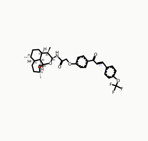 C[C@H]1[C@@H](NC(=O)COc2ccc(C(=O)/C=C/c3ccc(OC(F)(F)F)cc3)cc2)O[C@@H]2O[C@]3(C)CC[C@H]4[C@H](C)CC[C@@H]1[C@@]24OO3